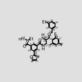 CCCN(CC)C(=O)c1cc(C(=O)N[C@@H](Cc2cc(F)cc(F)c2)C(N)COCc2cccc(CC)c2)cc(-c2ncco2)c1